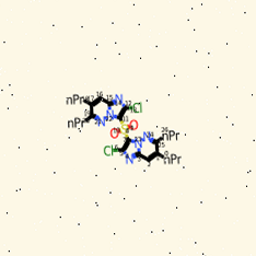 CCCc1cc2nc(Cl)c(S(=O)(=O)c3c(Cl)nc4cc(CCC)c(CCC)nn34)n2nc1CCC